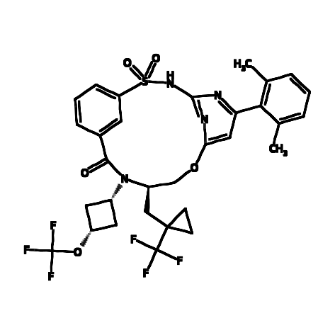 Cc1cccc(C)c1-c1cc2nc(n1)NS(=O)(=O)c1cccc(c1)C(=O)N([C@H]1C[C@@H](OC(F)(F)F)C1)[C@H](CC1(C(F)(F)F)CC1)CO2